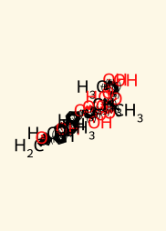 C=C1C=C([C@H]2CC[C@]3(O)[C@H]4CC[C@@H]5C[C@@H](O[C@H]6C[C@H](O)[C@H](O[C@@H]7O[C@H](C)[C@H](O[C@H]8C[C@H](O)[C@H](O)[C@@H](C)O8)[C@@H](O)O7)[C@@H](C)O6)CC[C@]5(C)[C@H]4CC[C@]23C)CO1